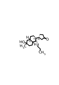 CCCC[C@H]1[C@H]([C@@H]2CCC(=O)C2)CC[C@H]2C[C@@](C)(O)CC[C@@H]21